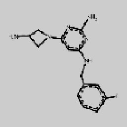 Nc1nc(NCc2cccc(F)c2)cc(N2CC(N)C2)n1